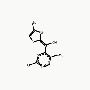 Cc1cnc(Cl)nc1/C(C#N)=C1/NC(C(C)(C)C)=CS1